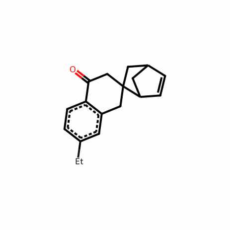 CCc1ccc2c(c1)CC1(CC2=O)CC2C=CC1C2